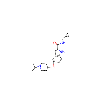 CC(C)N1CCC(Oc2ccc3[nH]c(C(=O)NCC4CC4)cc3c2)CC1